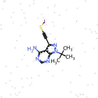 CC(C)(C)n1nc(C#CSI)c2c(N)ncnc21